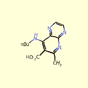 CCCCNc1c(C(=O)O)c(C)nc2nccnc12